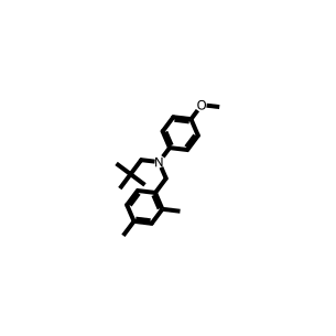 COc1ccc(N(Cc2ccc(C)cc2C)CC(C)(C)C)cc1